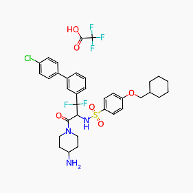 NC1CCN(C(=O)C(NS(=O)(=O)c2ccc(OCC3CCCCC3)cc2)C(F)(F)c2cccc(-c3ccc(Cl)cc3)c2)CC1.O=C(O)C(F)(F)F